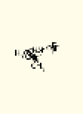 CCCn1nc(C(=O)N(C)C)c2c1CCC(NCCc1ccc(C(F)(F)F)cc1)C2